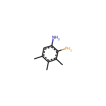 Cc1cc(N)c(P)c(C)c1C